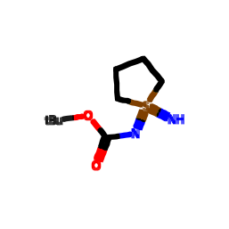 CC(C)(C)OC(=O)N=S1(=N)CCCC1